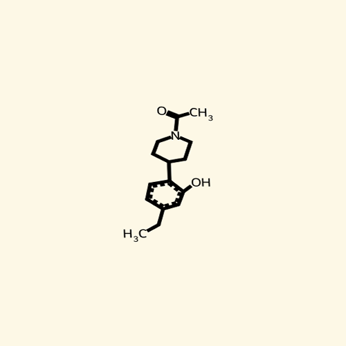 CCc1ccc(C2CCN(C(C)=O)CC2)c(O)c1